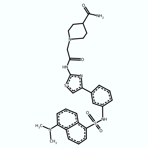 CN(C)c1cccc2c(S(=O)(=O)Nc3cccc(-c4csc(NC(=O)CN5CCC(C(N)=O)CC5)n4)c3)cccc12